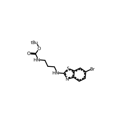 CC(C)(C)OC(=O)NCCCNc1nc2ccc(Br)cc2s1